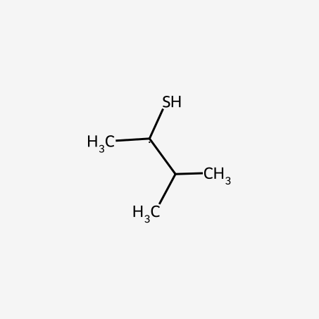 C[C](S)C(C)C